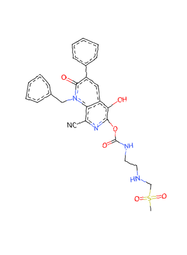 CS(=O)(=O)CNCCNC(=O)Oc1nc(C#N)c2c(cc(-c3ccccc3)c(=O)n2Cc2ccccc2)c1O